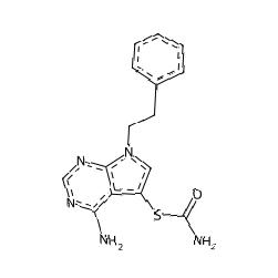 NC(=O)Sc1cn(CCc2ccccc2)c2ncnc(N)c12